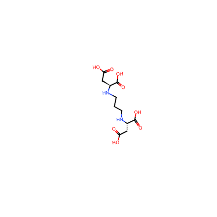 O=C(O)C[C@H](NCCCN[C@@H](CC(=O)O)C(=O)O)C(=O)O